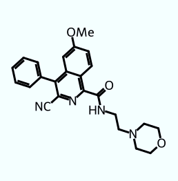 COc1ccc2c(C(=O)NCCN3CCOCC3)nc(C#N)c(-c3ccccc3)c2c1